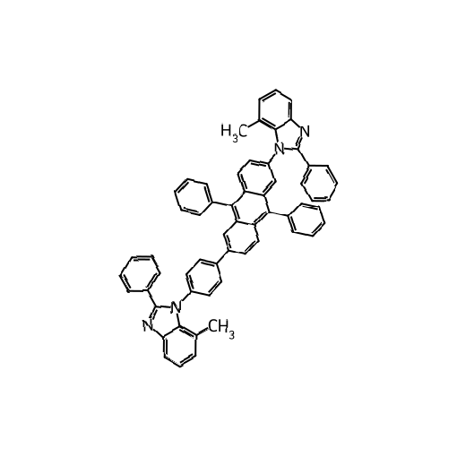 Cc1cccc2nc(-c3ccccc3)n(-c3ccc(-c4ccc5c(-c6ccccc6)c6cc(-n7c(-c8ccccc8)nc8cccc(C)c87)ccc6c(-c6ccccc6)c5c4)cc3)c12